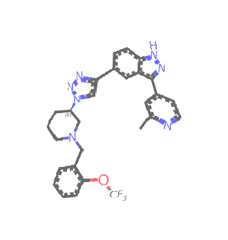 Cc1cc(-c2n[nH]c3ccc(-c4cn([C@@H]5CCCN(Cc6ccccc6OC(F)(F)F)C5)nn4)cc23)ccn1